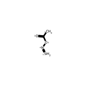 CC(=O)ON=[SiH2]